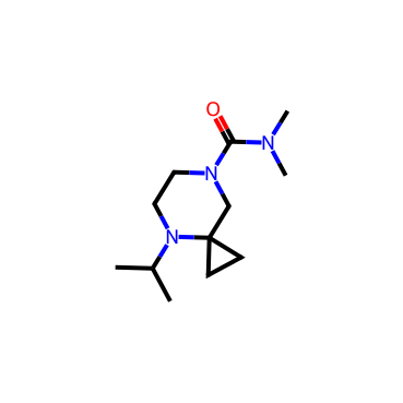 CC(C)N1CCN(C(=O)N(C)C)CC12CC2